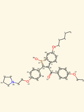 CCCCCOc1ccc2c(C(=O)c3ccc(OCC)cc3)c(-c3ccc(OCCN4CCCC4)cc3)[s+]([O-])c2c1